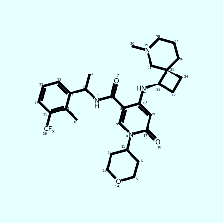 Cc1c(C(C)NC(=O)c2cn(C3CCOCC3)c(=O)cc2N[C@@H]2CC[C@@]23CCCN(C)C3)cccc1C(F)(F)F